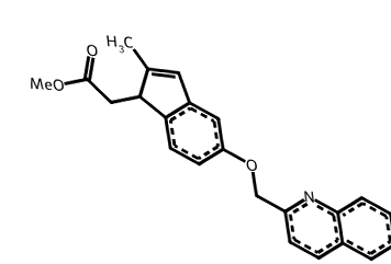 COC(=O)CC1C(C)=Cc2cc(OCc3ccc4ccccc4n3)ccc21